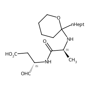 CCCCCCCC1(N[C@@H](C)C(=O)N[C@H](C=O)CC(=O)O)CCCCO1